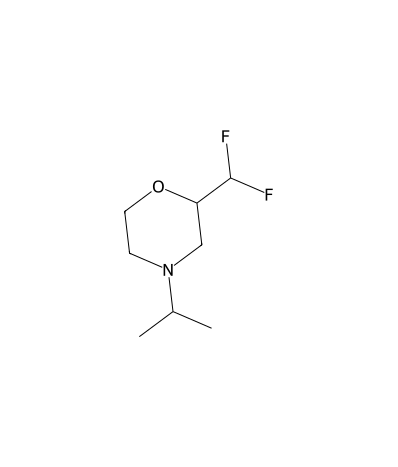 CC(C)N1CCOC(C(F)F)C1